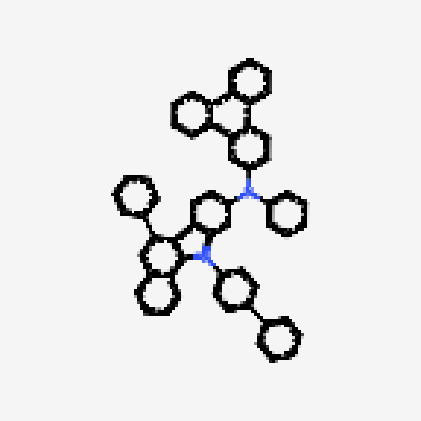 c1ccc(-c2ccc(-n3c4cc(N(c5ccccc5)c5ccc6c7ccccc7c7ccccc7c6c5)ccc4c4c(-c5ccccc5)cc5ccccc5c43)cc2)cc1